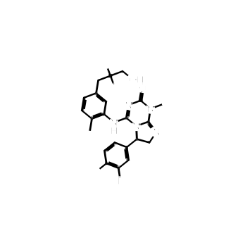 Cc1ccc(CC(F)(F)CO)cc1NC1=NC(=O)N(C)C2=NCC(c3ccc(F)c(F)c3)N12